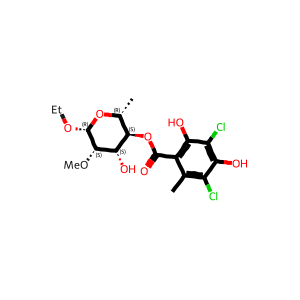 CCO[C@@H]1O[C@H](C)[C@@H](OC(=O)c2c(C)c(Cl)c(O)c(Cl)c2O)[C@H](O)[C@@H]1OC